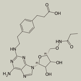 CCC(=O)NOC[C@H]1O[C@@H](n2cnc3c(N)nc(NCCc4ccc(CCC(=O)O)cc4)nc32)C(O)C1O